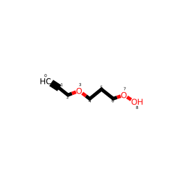 C#CCOCCCOO